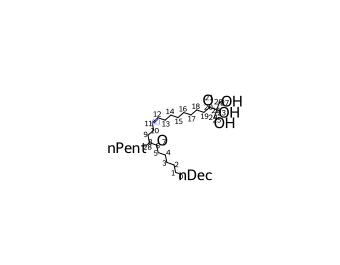 CCCCCCCCCCCCCCCC(=O)C(CC/C=C\CCCCCCCC(=O)C(O)(CO)CO)CCCCC